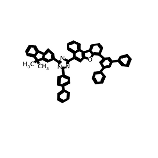 CC1(C)c2ccccc2-c2ccc(-c3nc(-c4ccc(-c5ccccc5)cc4)nc(-c4cc5oc6c(-c7cc(-c8ccccc8)cc(-c8ccccc8)c7)cccc6c5c5ccccc45)n3)cc21